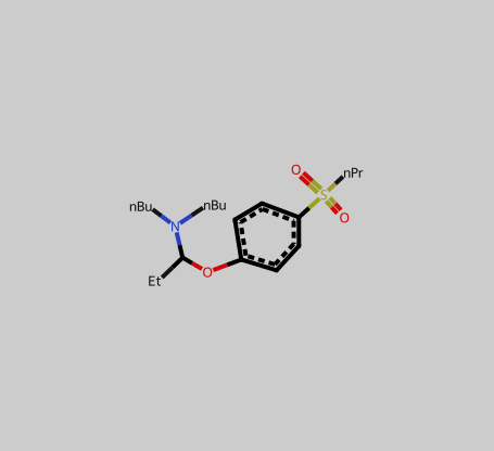 CCCCN(CCCC)C(CC)Oc1ccc(S(=O)(=O)CCC)cc1